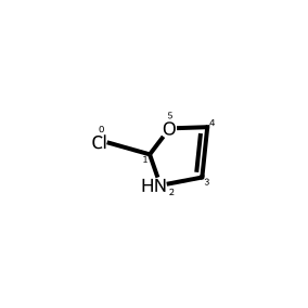 ClC1NC=CO1